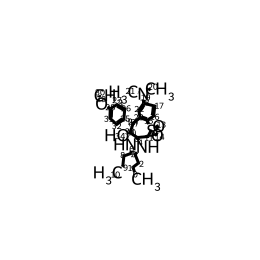 CCCCNC1(NCCCC)CS(=O)(=O)c2ccc(N(C)C)cc2[C@@H](c2ccc(OC)cc2)[C@H]1O